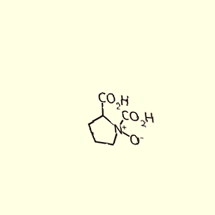 O=C(O)C1CCC[N+]1([O-])C(=O)O